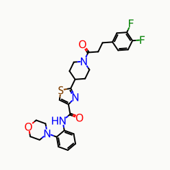 O=C(Nc1ccccc1N1CCOCC1)c1csc(C2CCN(C(=O)CCc3ccc(F)c(F)c3)CC2)n1